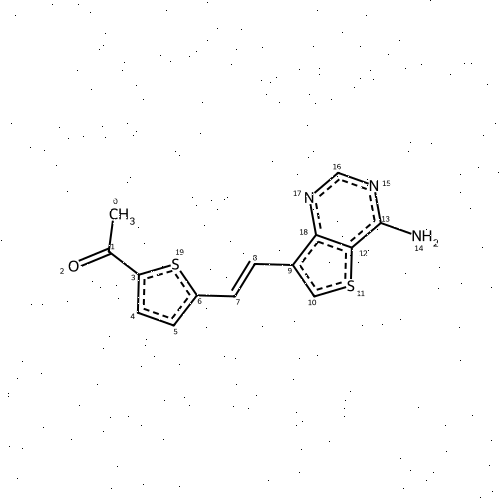 CC(=O)c1ccc(C=Cc2csc3c(N)ncnc23)s1